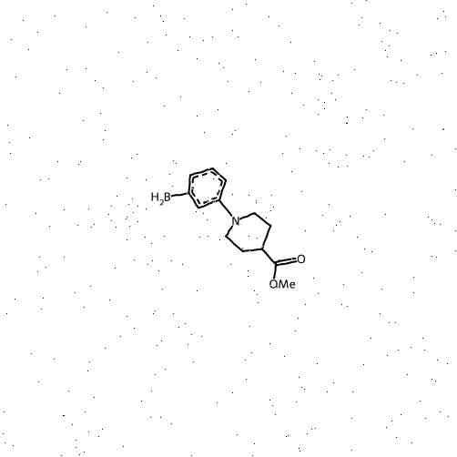 Bc1cccc(N2CCC(C(=O)OC)CC2)c1